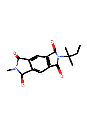 CCC(C)(C)n1c(=O)c2cc3c(=O)n(C)c(=O)c3cc2c1=O